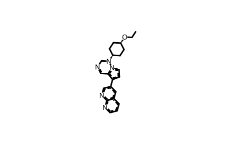 CCO[C@H]1CC[C@@H](N2CN=Cc3c(-c4cnc5ncccc5c4)ccn32)CC1